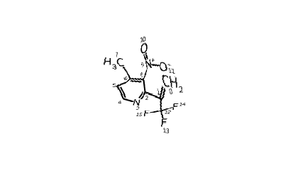 C=C(c1nccc(C)c1[N+](=O)[O-])C(F)(F)F